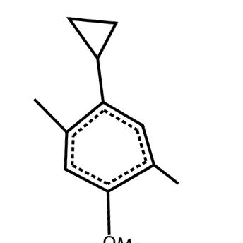 COc1cc(C)c(C2CC2)cc1C